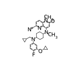 CN(c1cc(=O)n(C)c2ccc(C#N)nc12)C1CCC(N(CC2CC2)c2ccc(F)c(OC3CC3)c2)CC1